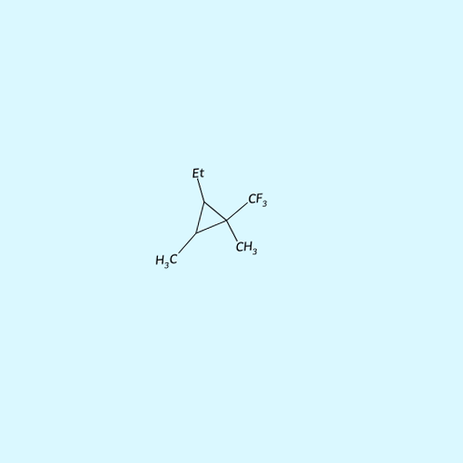 CCC1C(C)C1(C)C(F)(F)F